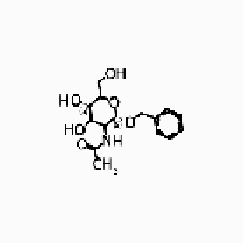 CC(=O)NC1C(O)[C@H](O)C(CO)O[C@@H]1OCc1ccccc1